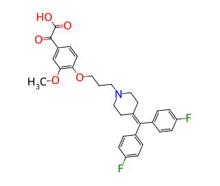 COc1cc(C(=O)C(=O)O)ccc1OCCCN1CCC(=C(c2ccc(F)cc2)c2ccc(F)cc2)CC1